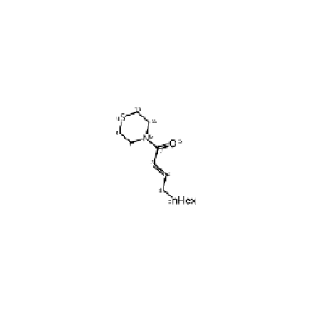 CCCCCCC/C=C/C(=O)N1CCSCC1